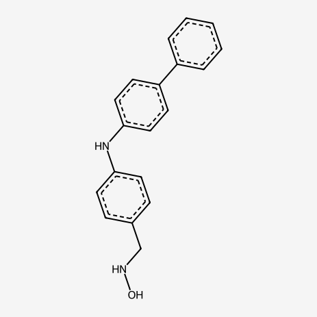 ONCc1ccc(Nc2ccc(-c3ccccc3)cc2)cc1